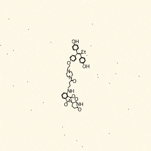 CCC(=C(c1ccc(O)cc1)c1ccc(OCCN2CCN(C(=O)CCCNc3cccc4c3C(=O)N(C3CCC(=O)NC3=O)C4=O)CC2)cc1)c1ccc(O)cc1